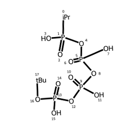 CC(C)P(=O)(O)OP(=O)(O)OP(=O)(O)OP(=O)(O)OC(C)(C)C